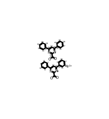 O=C([O-])c1nc(-c2ccccc2)cc(-c2ccccc2)n1.O=C([O-])c1nc(-c2ccccc2)cc(-c2ccccc2)n1.[Ir+3]